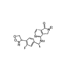 CCN1Cc2c(ccnc2N[C@@H](C)c2ccc(C3BOOC3)c(F)c2)C1=O